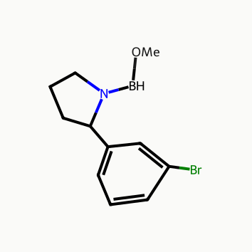 COBN1CCCC1c1cccc(Br)c1